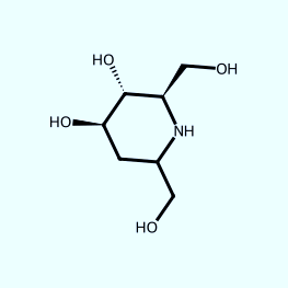 OCC1C[C@@H](O)[C@H](O)[C@@H](CO)N1